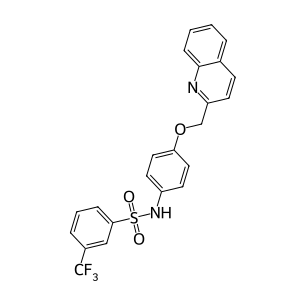 O=S(=O)(Nc1ccc(OCc2ccc3ccccc3n2)cc1)c1cccc(C(F)(F)F)c1